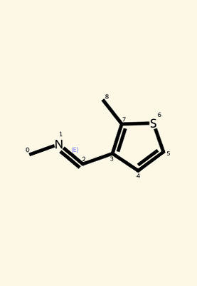 C/N=C/c1ccsc1C